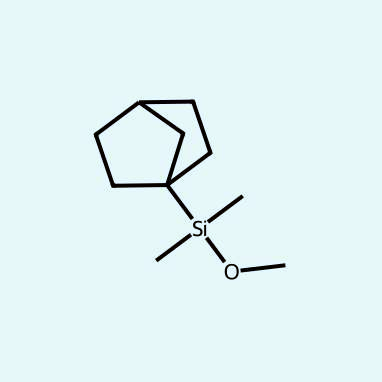 CO[Si](C)(C)C12CCC(CC1)C2